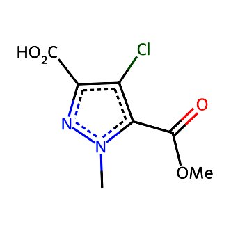 COC(=O)c1c(Cl)c(C(=O)O)nn1C